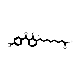 Cc1c(CCCCCCCC(=O)O)cccc1C(=O)c1ccc(Cl)cc1